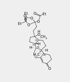 CCC(=O)OC(CCC1(O)CC[C@H]2[C@@H]3CCC4=CC(=O)CC[C@]4(C)[C@@H]3CC[C@@]21C)(OC(=O)CC)OC(=O)CC